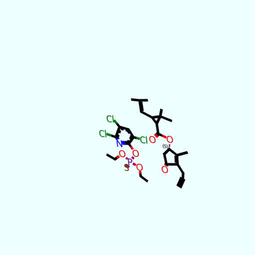 C#CCC1=C(C)[C@@H](OC(=O)C2C(C=C(C)C)C2(C)C)CC1=O.CCOP(=S)(OCC)Oc1nc(Cl)c(Cl)cc1Cl